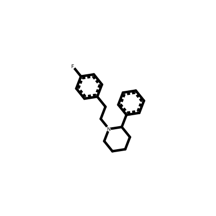 Fc1ccc(CCN2CCCCC2c2ccccc2)cc1